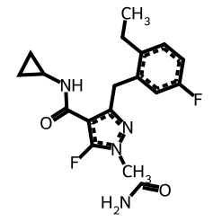 CCc1ccc(F)cc1Cc1nn(C)c(F)c1C(=O)NC1CC1.NC=O